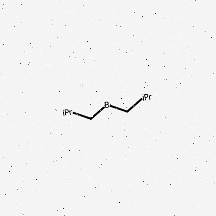 CC(C)C[B]CC(C)C